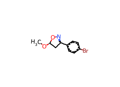 CO[C@@H]1CC(c2ccc(Br)cc2)=NO1